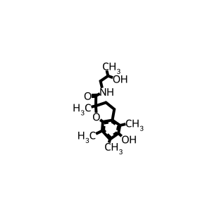 Cc1c(C)c2c(c(C)c1O)CCC(C)(C(=O)NCC(C)O)O2